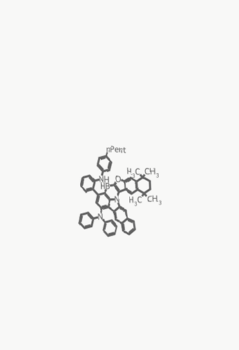 CCCCCc1ccc(Nc2ccccc2-c2cc(N(c3ccccc3)c3ccccc3)c3c4cc5ccccc5cc4n4c3c2Bc2oc3cc5c(cc3c2-4)C(C)(C)CCC5(C)C)cc1